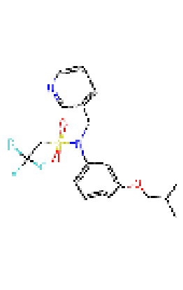 CC(C)COc1cccc(N(Cc2cccnc2)S(=O)(=O)CC(F)(F)F)c1